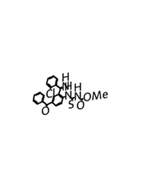 COC(=O)NC(=S)Nc1ccc(C(=O)c2ccccc2)cc1C(=N)c1ccccc1Cl